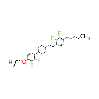 CCCCCc1ccc(CCC2CCC(c3ccc(OCC)c(F)c3F)CC2)c(F)c1F